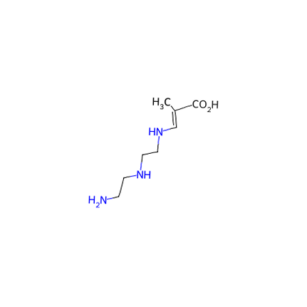 CC(=CNCCNCCN)C(=O)O